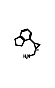 NC[C@@H]1CC1c1cccc2c1CCC2